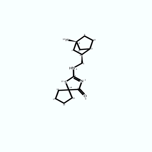 O=C1N=C(NC[C@H]2C[C@@H]3CCC2C3)SC12CCCC2